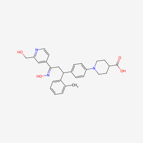 Cc1ccccc1C(C/C(=N/O)c1ccnc(CO)c1)c1ccc(N2CCC(C(=O)O)CC2)cc1